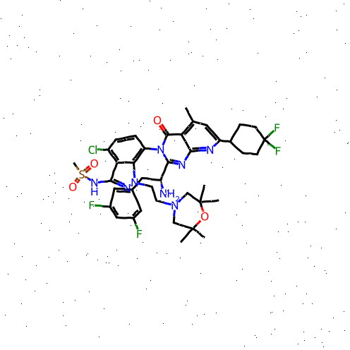 Cc1cc(C2CCC(F)(F)CC2)nc2nc([C@@H](N)Cc3cc(F)cc(F)c3)n(-c3ccc(Cl)c4c(NS(C)(=O)=O)nn(CCN5CC(C)(C)OC(C)(C)C5)c34)c(=O)c12